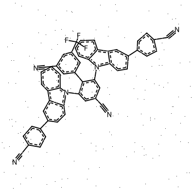 N#Cc1ccc(-c2ccc3c(c2)c2ccccc2n3-c2cc(C#N)cc(-n3c4ccccc4c4cc(-c5ccc(C#N)cc5)ccc43)c2-c2cc(C#N)cc(C(F)(F)F)c2)cc1